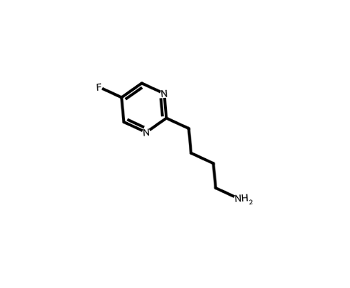 NCCCCc1ncc(F)cn1